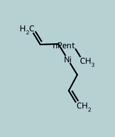 C=C[CH2][Ni][CH2]C=C.CCCCCC